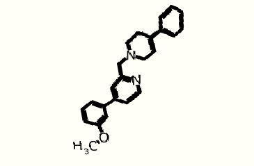 COc1cccc(-c2ccnc(CN3CC=C(c4ccccc4)CC3)c2)c1